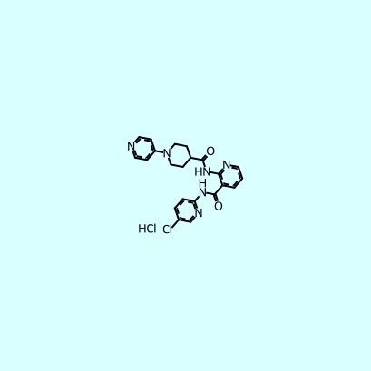 Cl.O=C(Nc1ccc(Cl)cn1)c1cccnc1NC(=O)C1CCN(c2ccncc2)CC1